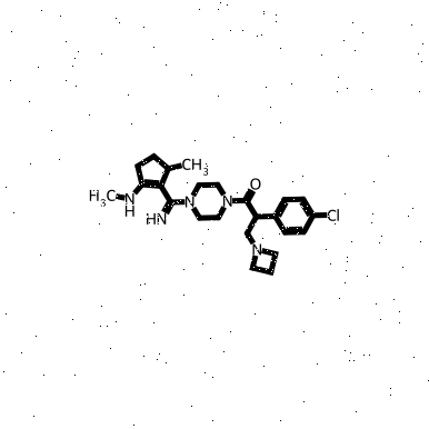 CNC1=C(C(=N)N2CCN(C(=O)C(CN3CCC3)c3ccc(Cl)cc3)CC2)C(C)CC1